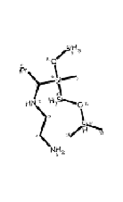 CC(C)C(NCCN)[Si](C)(O[SiH3])[SiH2]O[SiH](C)C